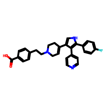 O=C(O)c1ccc(CCN2CC=C(c3c[nH]c(-c4ccc(F)cc4)c3-c3ccncc3)CC2)cc1